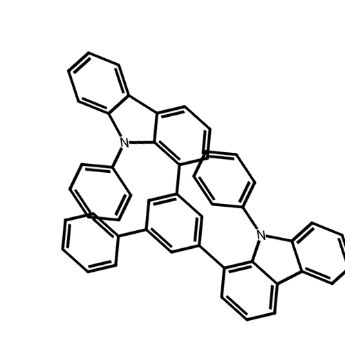 c1ccc(-c2cc(-c3cccc4c5ccccc5n(-c5ccccc5)c34)cc(-c3cccc4c5ccccc5n(-c5ccccc5)c34)c2)cc1